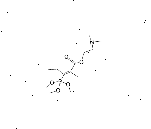 CCC(=C(C)C(=O)OCCN(C)C)[Si](OC)(OC)OC